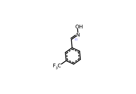 O/N=C/c1cccc(C(F)(F)F)c1